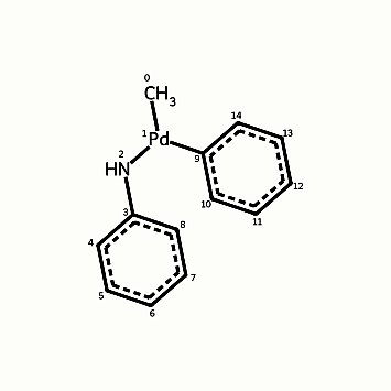 [CH3][Pd]([NH]c1ccccc1)[c]1ccccc1